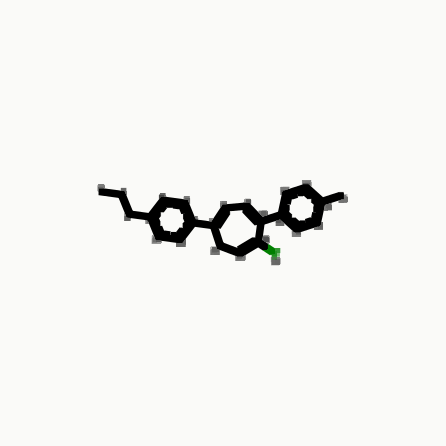 CCCc1ccc(C2=CC=C(c3ccc(C)cc3)C(F)=CC2)cc1